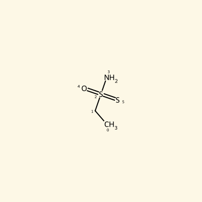 CCS(N)(=O)=S